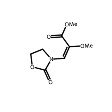 COC(=O)C(=CN1CCOC1=O)OC